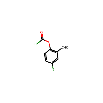 O=Cc1cc(F)ccc1OC(=O)Cl